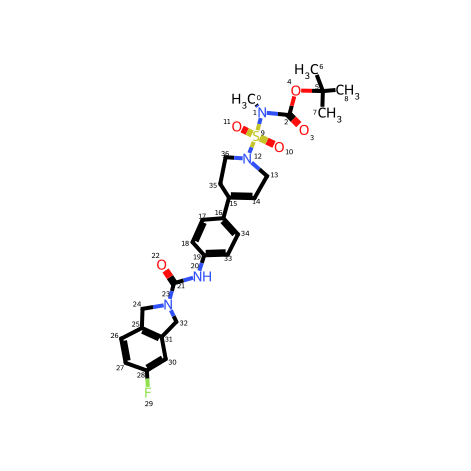 CN(C(=O)OC(C)(C)C)S(=O)(=O)N1CC=C(c2ccc(NC(=O)N3Cc4ccc(F)cc4C3)cc2)CC1